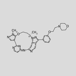 C[C@H]1CCOc2c(cnn2C)-c2nccc(n2)Nc2cc3c(cn2)c(-c2cccc(OCCN4CCOCC4)c2)nn31